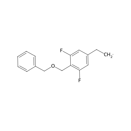 [CH2]Cc1cc(F)c(COCc2ccccc2)c(F)c1